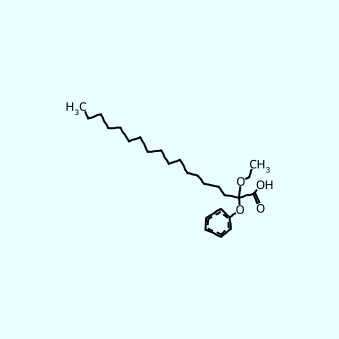 CCCCCCCCCCCCCCCCC(OCC)(Oc1ccccc1)C(=O)O